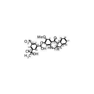 COc1cc2c(cc1OC(O)c1cc([N+](=O)[O-])cc(C(C)(O)Cl)c1)NC[C@@H]1Cc3ccccc3N1C2=O